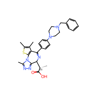 Cc1sc2c(c1C)C(c1ccc(N3CCN(Cc4ccccc4)CC3)cc1)=NC([C@H](C)C(=O)O)c1nnc(C)n1-2